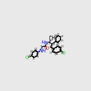 CC(NC(=O)CNc1ccc(Cl)cc1)C(Cc1ccc(Cl)cc1)c1ccccc1